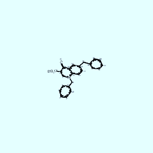 CCOC(=O)c1cn(Cc2ccccc2)c2ccc(Cc3ccccc3)cc2c1=O